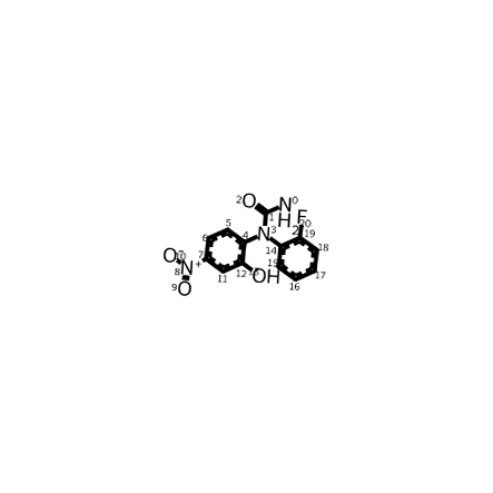 NC(=O)N(c1ccc([N+](=O)[O-])cc1O)c1ccccc1F